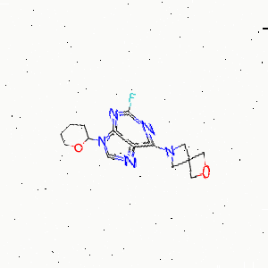 Fc1nc(N2CC3(COC3)C2)c2ncn(C3CCCCO3)c2n1